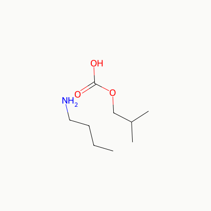 CC(C)COC(=O)O.CCCCN